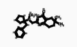 CC1(C)CCc2nc(CN(C(=O)O)C3(Cc4ccccc4)CCCC3)nc(Cl)c2C1